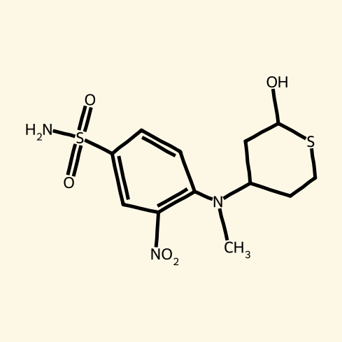 CN(c1ccc(S(N)(=O)=O)cc1[N+](=O)[O-])C1CCSC(O)C1